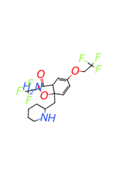 NC(=O)C1C=C(OCC(F)(F)F)C=CC1(CC1CCCCN1)OCC(F)(F)F